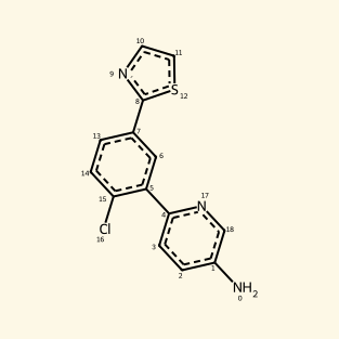 Nc1ccc(-c2cc(-c3nccs3)ccc2Cl)nc1